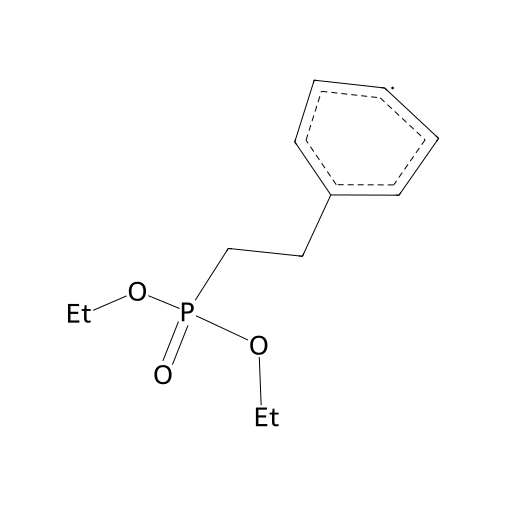 CCOP(=O)(CCc1cc[c]cc1)OCC